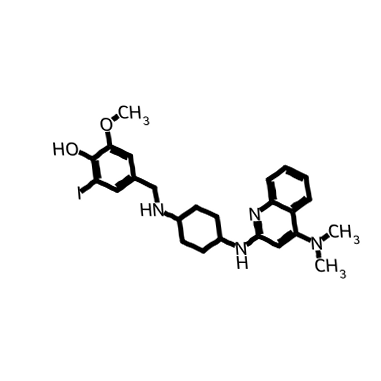 COc1cc(CNC2CCC(Nc3cc(N(C)C)c4ccccc4n3)CC2)cc(I)c1O